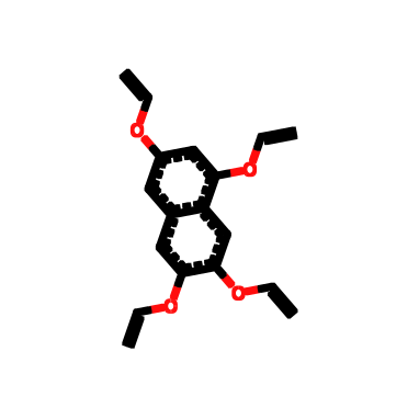 C=COc1cc(OC=C)c2cc(OC=C)c(OC=C)cc2c1